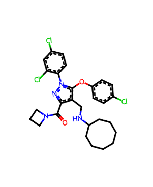 O=C(c1nn(-c2ccc(Cl)cc2Cl)c(Oc2ccc(Cl)cc2)c1CNC1CCCCCCC1)N1CCC1